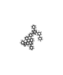 c1ccc(-c2cccc(-c3nc(-c4ccccc4)nc(-c4ccc(-c5cccc(-c6c7c(cc8c(-c9ccccc9)nc9ccccc9c68)oc6ccccc67)c5)cc4)n3)c2)cc1